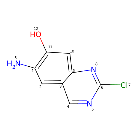 Nc1cc2cnc(Cl)nc2cc1O